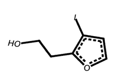 OCCc1occc1I